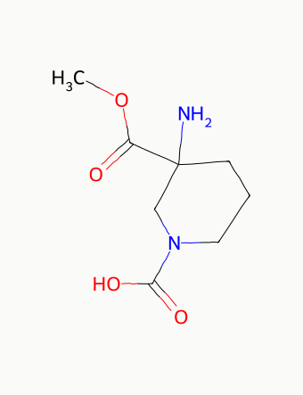 COC(=O)C1(N)CCCN(C(=O)O)C1